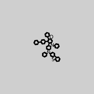 C1=C2c3c(cc4oc5ccccc5c4c3-c3ccc(-c4ccccc4)cc3)N(c3ccccc3)C2CC(N(c2ccccc2)c2ccc3c(c2)sc2ccccc23)=C1